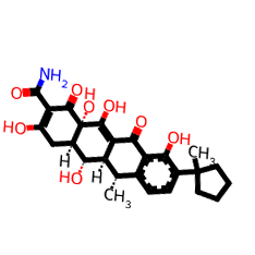 C[C@H]1c2ccc(C3(C)CCCC3)c(O)c2C(=O)C2=C(O)[C@]3(O)C(=O)C(C(N)=O)=C(O)C[C@@H]3[C@@H](O)[C@@H]21